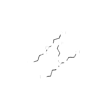 OCCON(OCCO)OCCO.OCCONOCCO